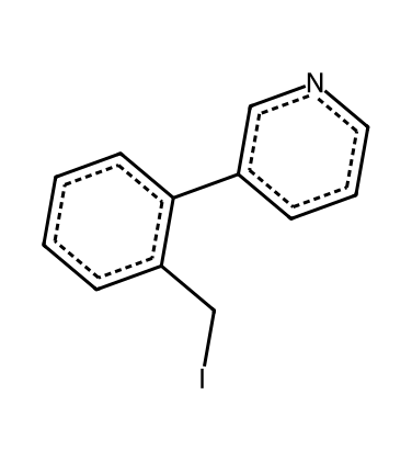 ICc1ccccc1-c1cccnc1